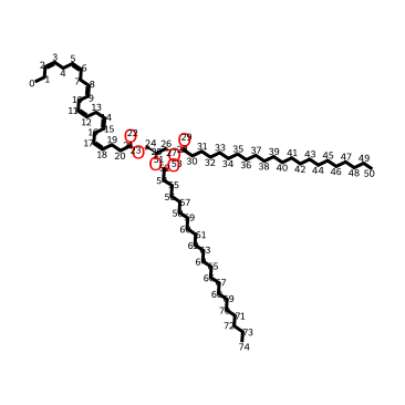 CC/C=C\C/C=C\C/C=C\C/C=C\C/C=C\C/C=C\CCC(=O)OC[C@@H](COC(=O)CCCCCCCCCCCCCCCCCCCCC)OC(=O)CCCCCCCCCCCCCCCCCCCCC